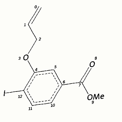 C=CCOc1cc(C(=O)OC)ccc1I